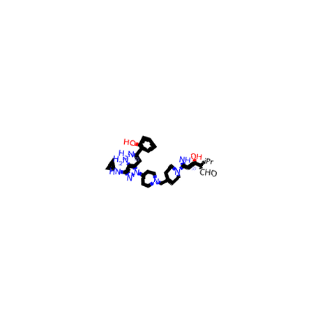 CC(C)C(C=O)/C(O)=C/C(=N)N1CCC(CN2CCC(n3nc(NC4CC4)c(N)c3/C=C(\N)c3ccccc3O)CC2)CC1